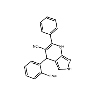 COc1ccccc1C1C(C#N)=C(c2ccccc2)Nc2n[nH]cc21